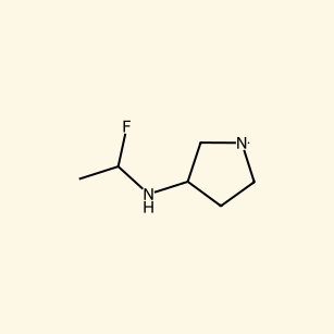 CC(F)NC1CC[N]C1